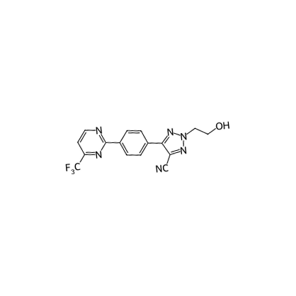 N#Cc1nn(CCO)nc1-c1ccc(-c2nccc(C(F)(F)F)n2)cc1